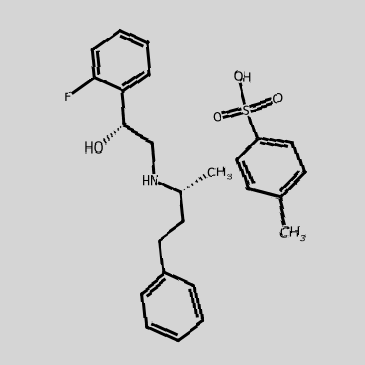 C[C@H](CCc1ccccc1)NC[C@H](O)c1ccccc1F.Cc1ccc(S(=O)(=O)O)cc1